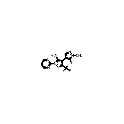 Cn1ncc(-c2c(C(F)(F)F)nn(-c3ncccn3)c2N)c1F